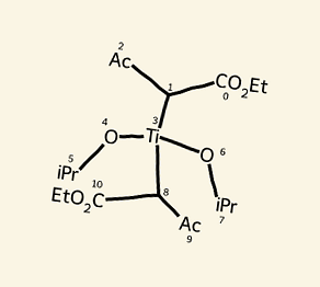 CCOC(=O)[CH](C(C)=O)[Ti]([O]C(C)C)([O]C(C)C)[CH](C(C)=O)C(=O)OCC